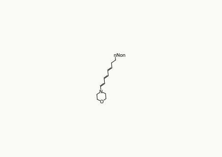 CCCCCCCCCCCC=CC=CC=CN1CCOCC1